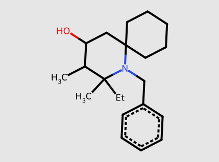 CCC1(C)C(C)C(O)CC2(CCCCC2)N1Cc1ccccc1